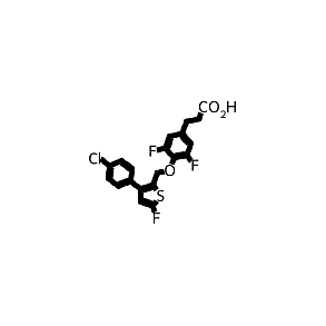 O=C(O)CCc1cc(F)c(OCc2sc(F)cc2-c2ccc(Cl)cc2)c(F)c1